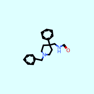 O=CNCC1(c2ccccc2)CCN(Cc2ccccc2)CC1